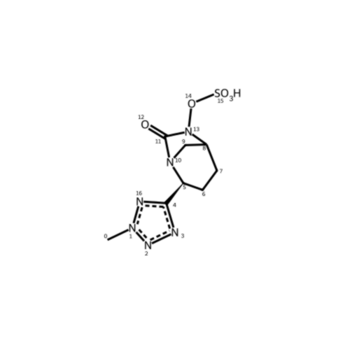 Cn1nnc([C@@H]2CCC3CN2C(=O)N3OS(=O)(=O)O)n1